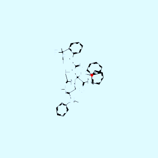 CC(=O)N(CC(=O)N(C)c1ccccc1)C(NC(=O)Nc1ccccc1C(F)(F)F)(Oc1ccccc1)C(=O)N(C)c1ccccc1